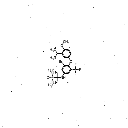 CCC(CC)(Nc1cc(Br)c(Oc2ccc(OC)c(C(C)C)c2)c(C(F)(F)F)c1)P(=O)(O)O